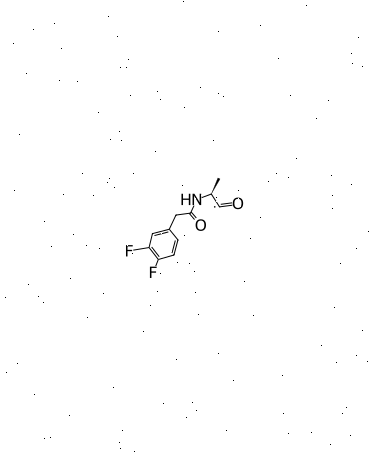 C[C@@H]([C]=O)NC(=O)Cc1ccc(F)c(F)c1